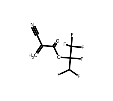 C=C(C#N)C(=O)OC(F)(C(F)F)C(F)(F)F